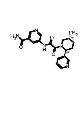 C[C@@H]1CC[C@@H](c2cccnc2)N(C(=O)C(=O)Nc2cncc(C(N)=O)c2)C1